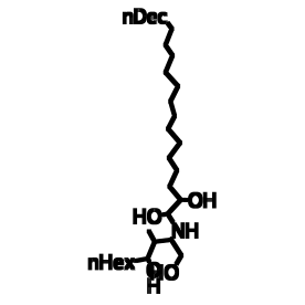 CCCCCCCCCCCCCCCCCCCCCCC(O)C(O)NC(CO)C(C)C(O)CCCCCC